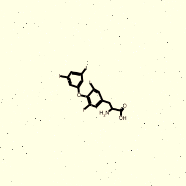 NC(Cc1cc(I)c(Oc2cc(I)cc(I)c2)c(I)c1)C(=O)O